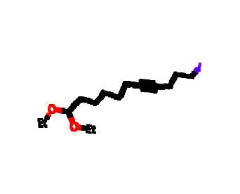 CCOC(CCCCCC#CCCCI)OCC